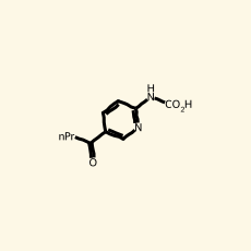 CCCC(=O)c1ccc(NC(=O)O)nc1